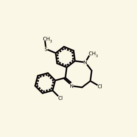 CSc1ccc2c(c1)C(c1ccccc1Cl)=NCC(Cl)CN2C